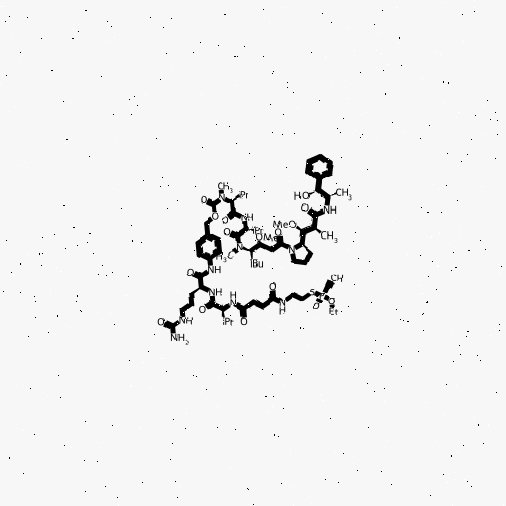 C#CP(=O)(OCC)SCCNC(=O)CCC(=O)N[C@H](C(=O)N[C@@H](CCCNC(N)=O)C(=O)Nc1ccc(COC(=O)N(C)[C@H](C(=O)N[C@@H](C(=O)N(C)[C@H]([C@H](C)CC)[C@H](CC(=O)N2CCC[C@@H]2[C@@H](OC)[C@H](C)C(=O)N[C@@H](C)[C@H](O)c2ccccc2)OC)C(C)C)C(C)C)cc1)C(C)C